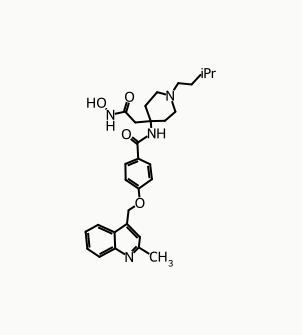 Cc1cc(COc2ccc(C(=O)NC3(CC(=O)NO)CCN(CCC(C)C)CC3)cc2)c2ccccc2n1